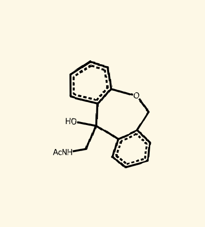 CC(=O)NCC1(O)c2ccccc2COc2ccccc21